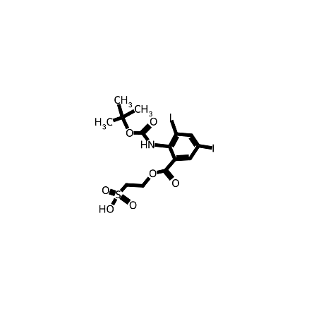 CC(C)(C)OC(=O)Nc1c(I)cc(I)cc1C(=O)OCCS(=O)(=O)O